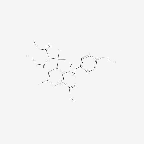 COC(=O)c1cc(Br)cc(C(C)(N)C(C(=O)OC)C(=O)OC)c1S(=O)(=O)c1ccc(OC)cc1